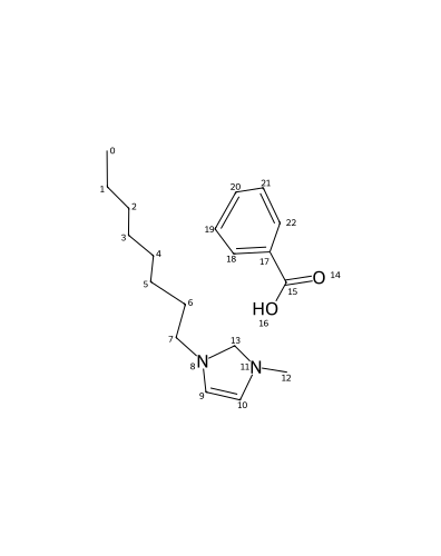 CCCCCCCCN1C=CN(C)C1.O=C(O)c1ccccc1